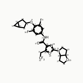 O=C(Nc1cc(F)c(OC2CC3CC3C2)c(F)c1)c1nc(N2CCC3OCCC32)oc1CC(F)(F)F